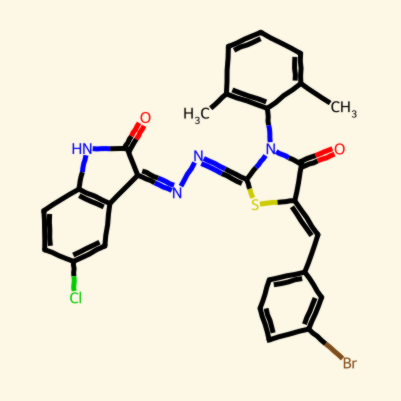 Cc1cccc(C)c1N1C(=O)C(=Cc2cccc(Br)c2)SC1=NN=C1C(=O)Nc2ccc(Cl)cc21